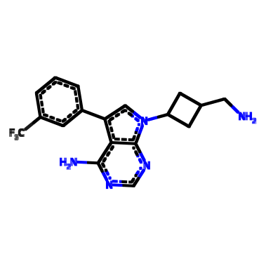 NCC1CC(n2cc(-c3cccc(C(F)(F)F)c3)c3c(N)ncnc32)C1